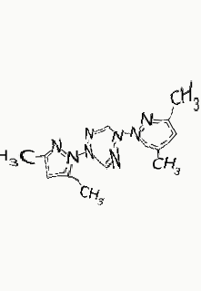 Cc1cc(C)n(N2C=NN(n3nc(C)cc3C)C=N2)n1